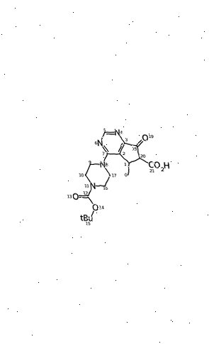 CC1c2c(ncnc2N2CCN(C(=O)OC(C)(C)C)CC2)C(=O)C1C(=O)O